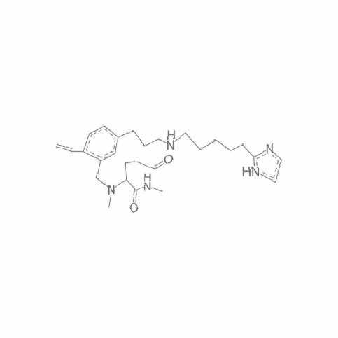 C=Cc1ccc(CCCNCCCCCc2ncc[nH]2)cc1CN(C)C(CCC=O)C(=O)NC